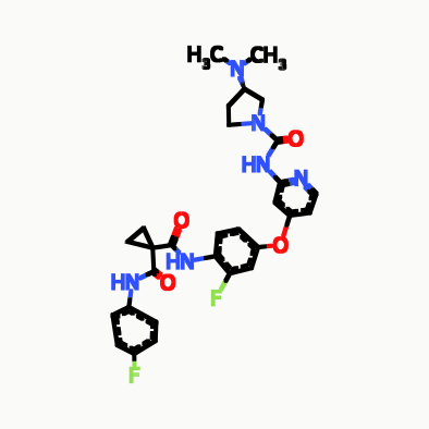 CN(C)[C@@H]1CCN(C(=O)Nc2cc(Oc3ccc(NC(=O)C4(C(=O)Nc5ccc(F)cc5)CC4)c(F)c3)ccn2)C1